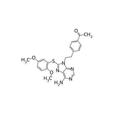 COc1ccc(OC)c(Sc2nc3c(N)ncnc3n2CCc2ccc(C(C)=O)cc2)c1